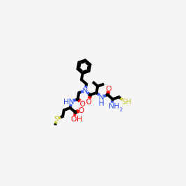 CSCCC(NC(=O)CN(CCc1ccccc1)C(=O)C(NC(=O)C(N)CS)C(C)C)C(=O)O